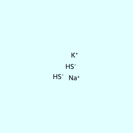 [K+].[Na+].[SH-].[SH-]